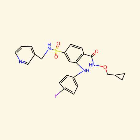 O=C(NOCC1CC1)c1ccc(S(=O)(=O)NCc2cccnc2)cc1Nc1ccc(I)cc1